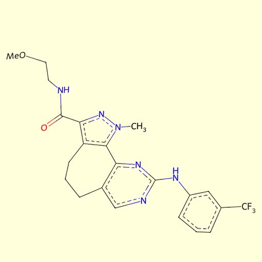 COCCNC(=O)c1nn(C)c2c1CCCc1cnc(Nc3cccc(C(F)(F)F)c3)nc1-2